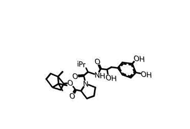 CC(C)C(NC(=O)C(O)Cc1ccc(O)c(O)c1)C(=O)N1CCCC1C(=O)OC1CC2CCC1(C)C2(C)C